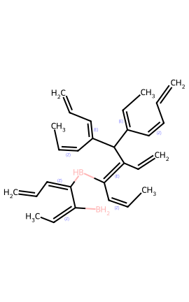 BC(=C/C)/C(BC(/C=C\C)=C(/C=C)C(C(/C=C\C=C)=C/C)C(/C=C\C)=C/C=C)=C\C=C